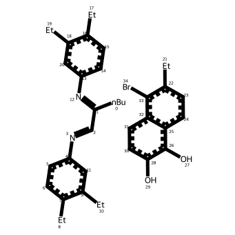 CCCCC(C=Nc1ccc(CC)c(CC)c1)=Nc1ccc(CC)c(CC)c1.CCc1ccc2c(O)c(O)ccc2c1Br